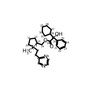 C[N+]1(CCc2cnccn2)CCCC1COC(=O)[C@](O)(c1ccccc1)C1CCCCC1